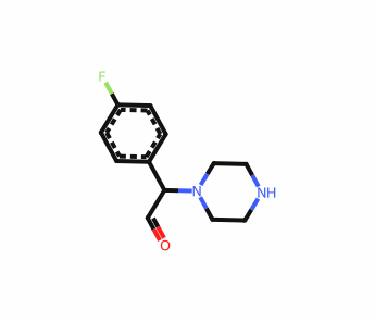 O=CC(c1ccc(F)cc1)N1CCNCC1